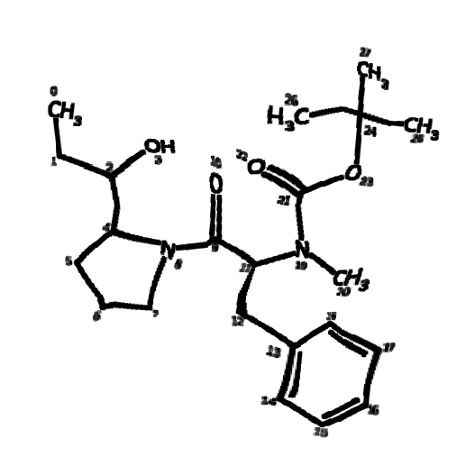 CCC(O)C1CCCN1C(=O)[C@H](Cc1ccccc1)N(C)C(=O)OC(C)(C)C